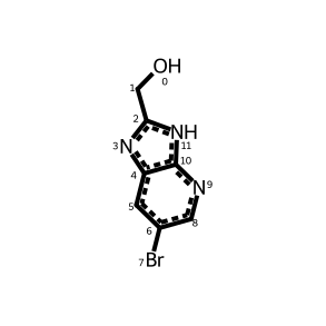 OCc1nc2cc(Br)cnc2[nH]1